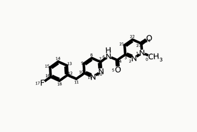 Cn1nc(C(=O)Nc2ccc(Cc3cccc(F)c3)nn2)ccc1=O